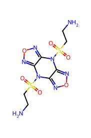 NCCS(=O)(=O)N1c2nonc2N(S(=O)(=O)CCN)c2nonc21